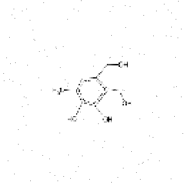 Cc1cc(CO)c(CO)c(O)c1O